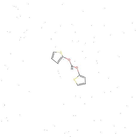 B(Oc1cccs1)Oc1cccs1